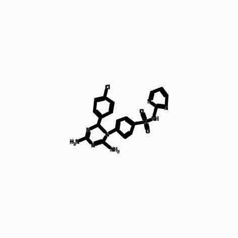 NC1=NC(c2ccc(Cl)cc2)N(c2ccc(S(=O)(=O)Nc3ncccn3)cc2)C(N)=N1